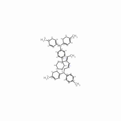 C/C=C(\C=C/CN(C1=CC=C(C)CC1)c1ccc(C)cc1)C1(c2ccc(N(C3=CCC(C)C=C3)C3=CC=C(C)CC3)cc2)CCCCC1